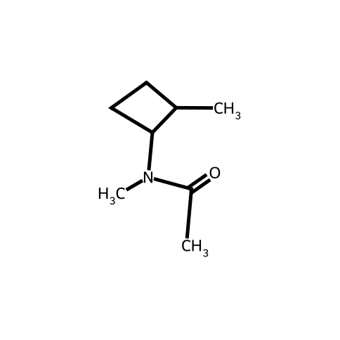 CC(=O)N(C)C1CCC1C